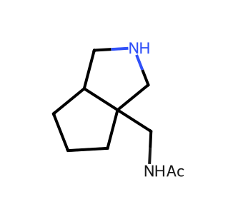 CC(=O)NCC12CCCC1CNC2